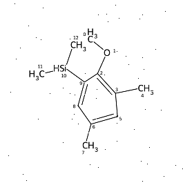 COc1c(C)cc(C)cc1[SiH](C)C